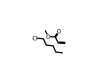 C=CC(=O)OC.CCCCCCl